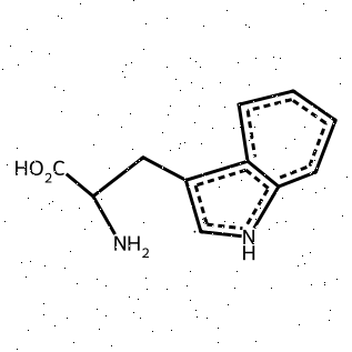 NC(Cc1[c][nH]c2ccccc12)C(=O)O